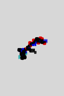 C#Cc1c(F)ccc2cccc(-c3ncc4c(N5CC6CCC(C5)N6)nc(OCC56CCC(COC(=O)NCCC(=O)Nc7cccc8c7C(=O)N(C7CCC(=O)NC7=O)C8=O)N5CC(=C)C6)nc4c3F)c12